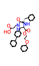 O=C(O)CCNC(=O)[C@H](Cc1ccccc1)NC(Cc1ccc(-c2ccccc2)cc1)C(=O)OCCOc1ccccc1